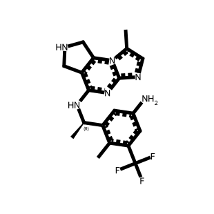 Cc1c([C@@H](C)Nc2nc3ncc(C)n3c3c2CNC3)cc(N)cc1C(F)(F)F